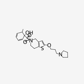 CC1C=CC=CC1(O)S(=O)(=O)N1CCc2sc(OCCCN3CCCC3)cc2C1